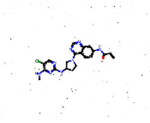 C=CC(=O)Nc1ccc2c(N3CCC(Nc4ncc(Cl)c(NC)n4)C3)ncnc2c1